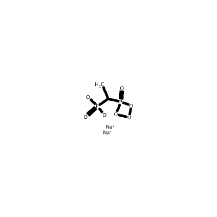 CC(P(=O)([O-])[O-])P1(=O)OOO1.[Na+].[Na+]